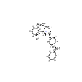 COC(=O)/C(=N\N(C)c1ccc(Nc2ccccc2)cc1)c1cccc[n+]1C